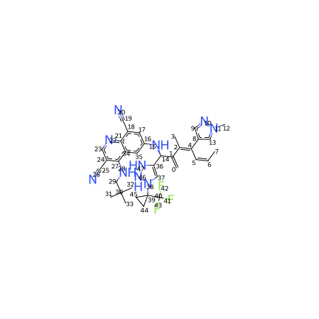 C=C(/C(C)=C(\C=C/C)c1cnn(C)c1)[C@H](Nc1cc(C#N)c2ncc(C#N)c(NCC(C)(C)C)c2c1)C1=CN(C2(C(F)(F)F)CC2)NN1